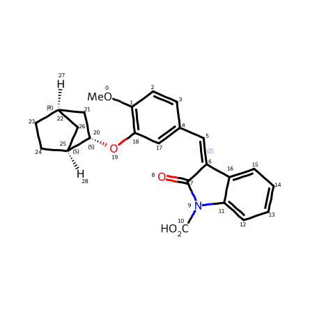 COc1ccc(/C=C2\C(=O)N(C(=O)O)c3ccccc32)cc1O[C@H]1C[C@@H]2CC[C@H]1C2